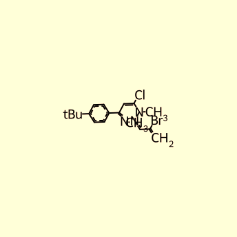 C=C(Br)/C=N\N(C)/C(Cl)=C\C(=N/C)c1ccc(C(C)(C)C)cc1